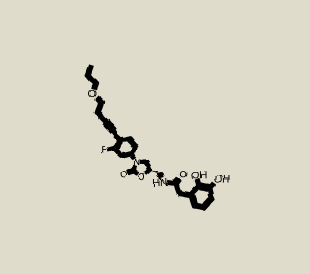 CCCOCCC#Cc1ccc(N2C[C@H](CNC(=O)Cc3cccc(O)c3O)OC2=O)cc1F